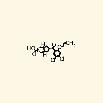 C=CCOc1cc(Cl)c(Cl)cc1C(=O)[C@H]1C[C@@H]2CN(C(=O)O)C[C@@H]2C1